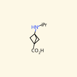 CC(C)NC12CC(C(=O)O)(C1)C2